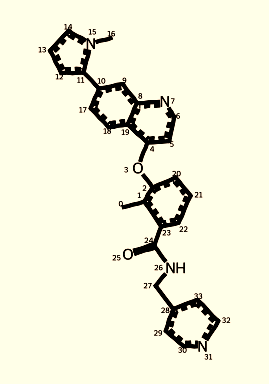 Cc1c(Oc2ccnc3cc(-c4cccn4C)ccc23)cccc1C(=O)NCc1ccncc1